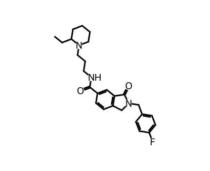 CCC1CCCCN1CCCNC(=O)c1ccc2c(c1)C(=O)N(Cc1ccc(F)cc1)C2